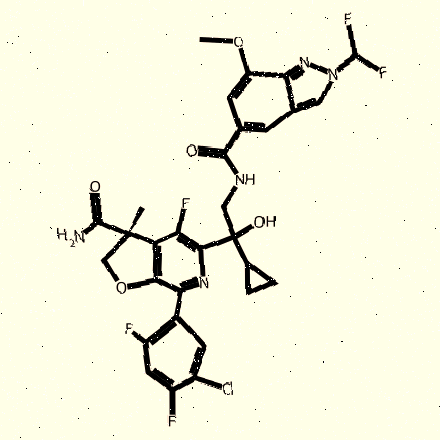 COc1cc(C(=O)NCC(O)(c2nc(-c3cc(Cl)c(F)cc3F)c3c(c2F)[C@@](C)(C(N)=O)CO3)C2CC2)cc2cn(C(F)F)nc12